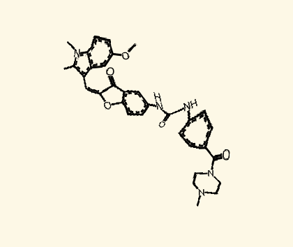 COc1ccc2c(c1)c(C=C1Oc3ccc(NC(=O)Nc4ccc(C(=O)N5CCN(C)CC5)cc4)cc3C1=O)c(C)n2C